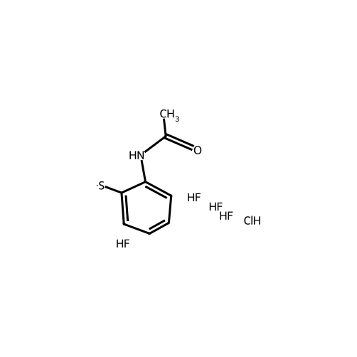 CC(=O)Nc1ccccc1[S].Cl.F.F.F.F